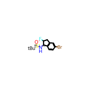 CC(C)(C)[S@+]([O-])N[C@@H]1c2ccc(Br)cc2CC1F